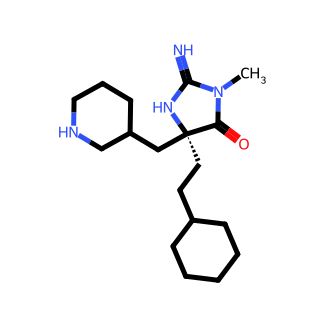 CN1C(=N)N[C@](CCC2CCCCC2)(CC2CCCNC2)C1=O